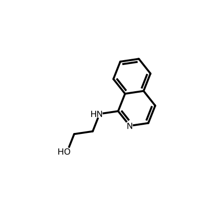 OCCNc1nccc2ccccc12